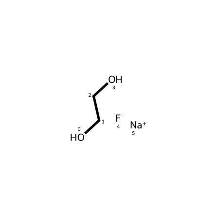 OCCO.[F-].[Na+]